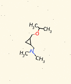 CC(C)OCC1CC1CN(C)C